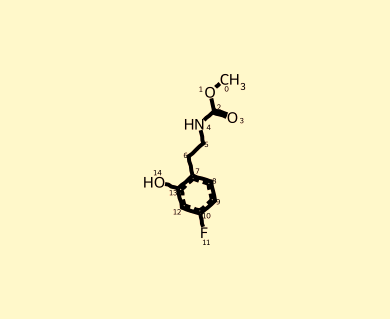 COC(=O)NCCc1ccc(F)cc1O